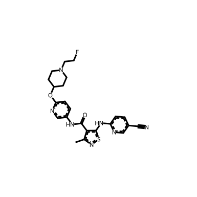 Cc1nsc(Nc2ccc(C#N)cn2)c1C(=O)Nc1ccc(OC2CCN(CCF)CC2)nc1